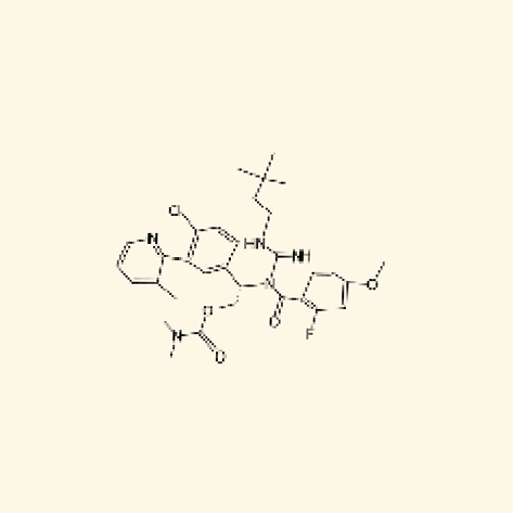 COc1ccc(C(=O)N(C(=N)NCCC(C)(C)C)[C@H](COC(=O)N(C)C)c2ccc(Cl)c(-c3ncccc3C)c2)c(F)c1